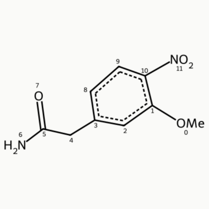 COc1cc(CC(N)=O)ccc1[N+](=O)[O-]